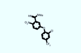 CNC(=N)c1cc(Oc2ccc(C(F)(F)F)cc2Cl)ccc1[N+](=O)[O-]